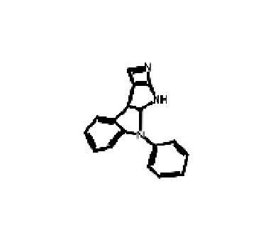 C1=NC2=C1C1c3ccccc3N(c3ccccc3)C1N2